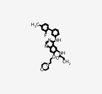 C=CC(=O)Nc1cc2c(Nc3cccc(-c4ccc(C)cc4F)c3)ncnc2cc1OCCN1CCOCC1